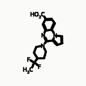 CC(F)(F)C1CCN(c2nc3cc(C(=O)O)ccc3n3cccc23)CC1